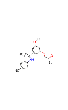 CCOc1cc(OCC(=O)CC)cc([C@@H](Nc2ccc(C#N)cc2)C(=O)O)c1